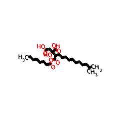 CCCCCCCC(=O)OC(=O)C(CCCCCCCCCC(C)C)C(O)(CC(=O)O)C(=O)O